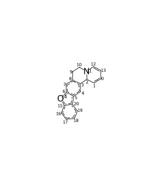 C1=CC2c3cc4c(cc3CCN2C=C1)oc1ccccc14